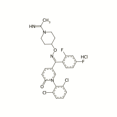 CC(=N)N1CCC(ON=C(c2ccc(=O)n(-c3c(Cl)cccc3Cl)c2)c2ccc(F)cc2F)CC1.Cl